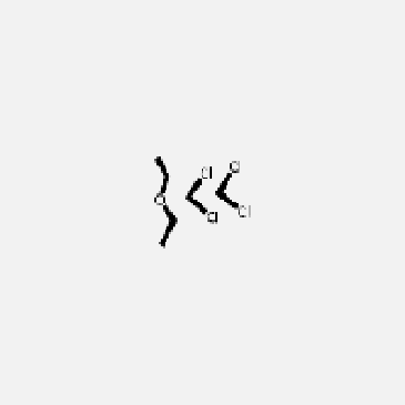 CCOCC.ClCCl.ClCCl